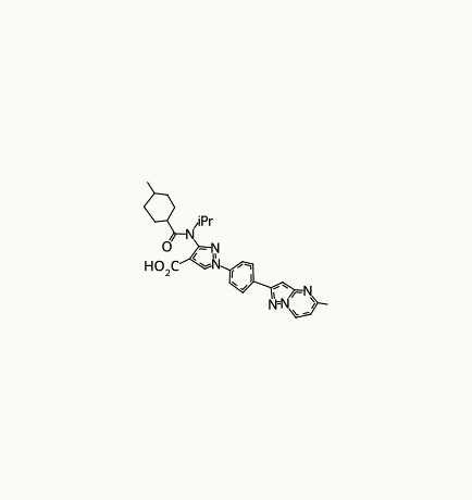 Cc1ccn2nc(-c3ccc(-n4cc(C(=O)O)c(N(C(=O)C5CCC(C)CC5)C(C)C)n4)cc3)cc2n1